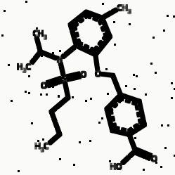 CCCCS(=O)(=O)N(c1ccc(C)cc1OCc1ccc(C(=O)O)cc1)C(C)C